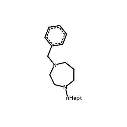 CCCCCCCN1CCCN(Cc2ccccc2)CC1